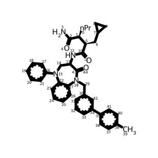 CCC[C@H](C(N)=O)[C@@H](CC1CC1)C(=O)NC1CN(c2ccccc2)c2ccccc2N(Cc2cccc(-c3ccc(C)cc3)c2)C1=O